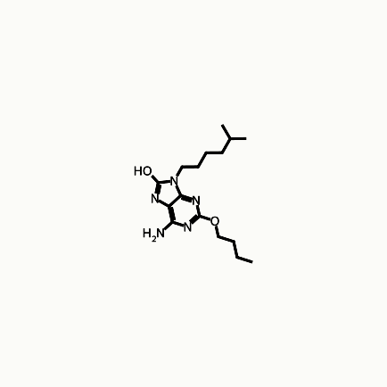 CCCCOc1nc(N)c2nc(O)n(CCCCC(C)C)c2n1